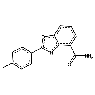 Cc1ccc(-c2nc3c(C(N)=O)cccc3o2)cc1